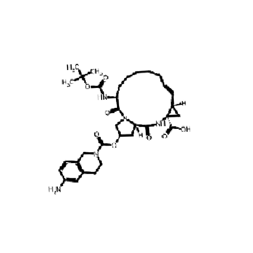 CC(C)(C)OC(=O)N[C@H]1CCCCC/C=C/[C@@H]2C[C@@]2(C(=O)O)NC(=O)[C@@H]2C[C@@H](OC(=O)N3CCc4cc(N)ccc4C3)CN2C1=O